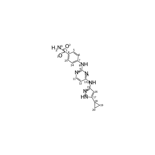 NS(=O)(=O)c1ccc(Nc2nccc(Nc3cc(C4CC4)[nH]n3)n2)cc1